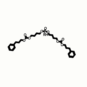 [NH]P(=O)(OCCCCOC(=O)OCCCc1ccccc1)OCCCCOC(=O)OCCCc1ccccc1